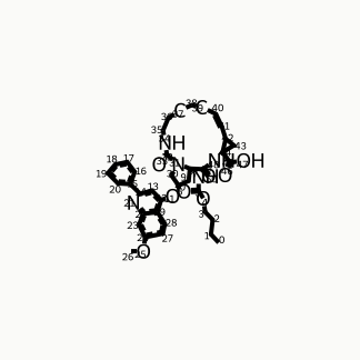 CCCCOC(=O)NC12CC(Oc3cc(-c4ccccc4)nc4cc(OC)ccc34)CN1C(=O)NCCCCCC=CC1CC1(C(=O)O)NC2=O